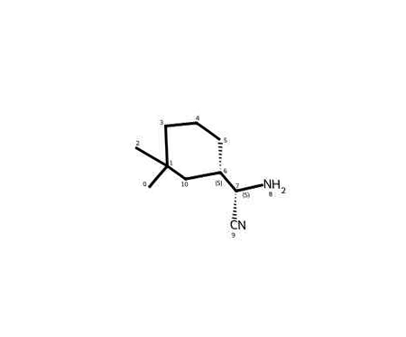 CC1(C)CCC[C@H]([C@H](N)C#N)C1